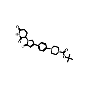 CC(C)(C)OC(=O)N1CCN(c2ccc(C3=CC(=O)N(C4CCC(=O)NC4=O)C3)cc2)CC1